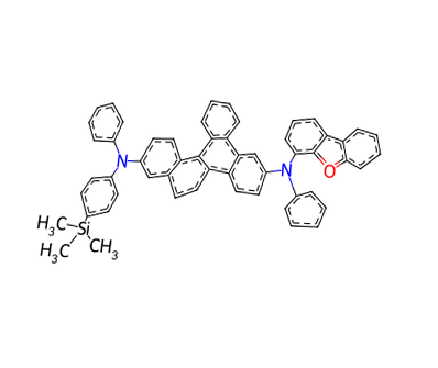 C[Si](C)(C)c1ccc(N(c2ccccc2)c2ccc3c(ccc4c5ccc(N(c6ccccc6)c6cccc7c6oc6ccccc67)cc5c5ccccc5c34)c2)cc1